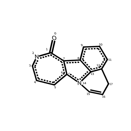 O=c1ncccc2c1c1cccc3c1n2C=CC3